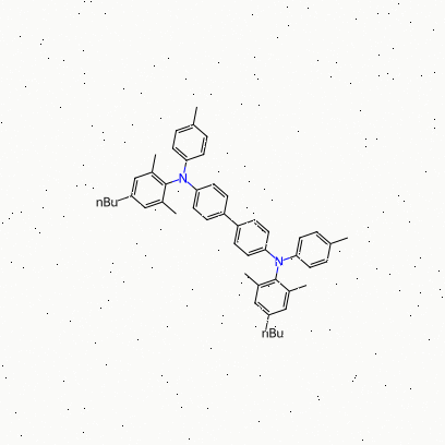 CCCCc1cc(C)c(N(c2ccc(C)cc2)c2ccc(-c3ccc(N(c4ccc(C)cc4)c4c(C)cc(CCCC)cc4C)cc3)cc2)c(C)c1